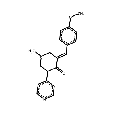 COc1ccc(C=C2CN(C)CC(c3ccncc3)C2=O)cc1